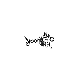 CC#CC(=O)N1CC2(CC(n3nc(-c4cnn(Cc5ccccc5)c4)c(C(N)=O)c3N)C2)C1